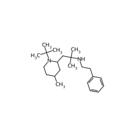 CC1CCN(C(C)(C)C)C(CC(C)(C)NCCc2ccccc2)C1